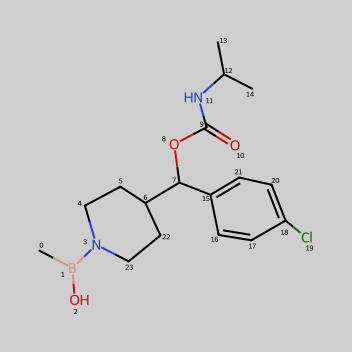 CB(O)N1CCC(C(OC(=O)NC(C)C)c2ccc(Cl)cc2)CC1